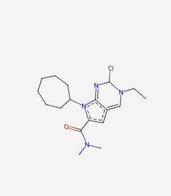 CCN1C=c2cc(C(=O)N(C)C)n(C3CCCCCC3)c2=NC1Cl